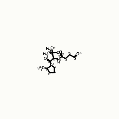 CC1CCCN1C(=O)C(NC(=O)CCC=O)C(C)(C)C